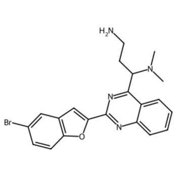 CN(C)C(CCN)c1nc(-c2cc3cc(Br)ccc3o2)nc2ccccc12